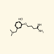 CN(C)Cc1cccc(OCCCC(=N)N)c1.Cl